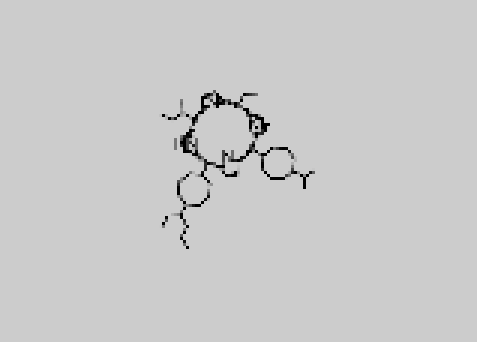 CCCC(CC)C1CCCC(c2c3nc(c(C4CCCC(C(C)C)CCC4)c4ccc([nH]4)c(CC)c4nc(c(C(C)CC)c5ccc2[nH]5)C=C4)C=C3)CCC1